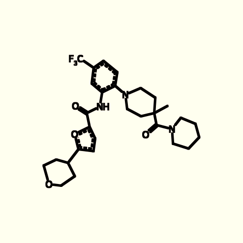 CC1(C(=O)N2CCCCC2)CCN(c2ccc(C(F)(F)F)cc2NC(=O)c2ccc(C3CCOCC3)o2)CC1